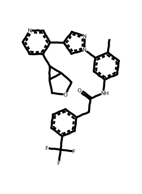 Cc1ccc(NC(=O)Cc2cccc(C(F)(F)F)c2)cc1-n1cc(-c2cnccc2C2C3COCC32)cn1